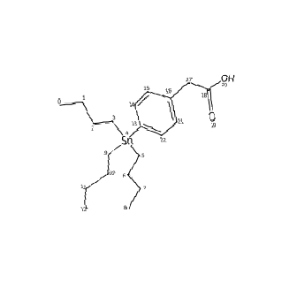 CCC[CH2][Sn]([CH2]CCC)([CH2]CCC)[c]1ccc(CC(=O)O)cc1